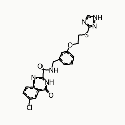 O=C(NCc1cccc(OCCSc2nc[nH]n2)c1)c1nc2ccc(Cl)cc2c(=O)[nH]1